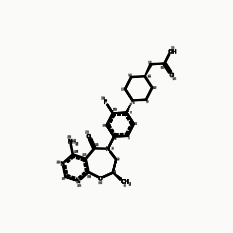 C[C@@H]1CN(c2ccc([C@H]3CC[C@H](CC(=O)O)CC3)c(F)c2)C(=O)c2c(N)ncnc2O1